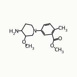 COC(=O)c1cc(N2CCC(N)C(OC)C2)ccc1C